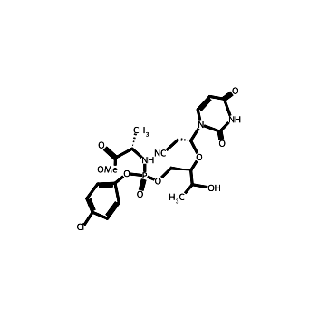 COC(=O)[C@H](C)NP(=O)(OC[C@@H](O[C@H](CC#N)n1ccc(=O)[nH]c1=O)C(C)O)Oc1ccc(Cl)cc1